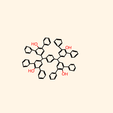 Oc1c(-c2ccccc2)cc(C(c2ccc(C(c3cc(-c4ccccc4)c(O)c(-c4ccccc4)c3)c3cc(-c4ccccc4)c(O)c(-c4ccccc4)c3)cc2)c2cc(-c3ccccc3)c(O)c(-c3ccccc3)c2)cc1-c1ccccc1